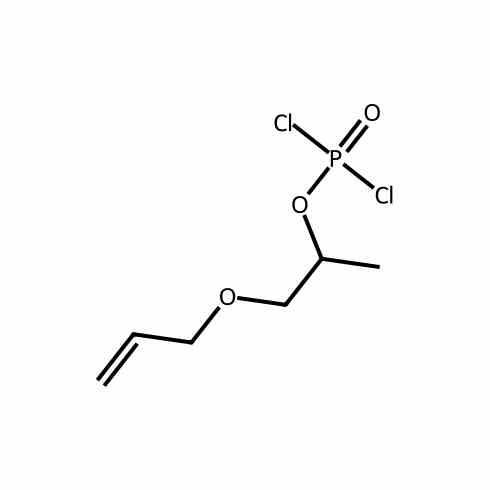 C=CCOCC(C)OP(=O)(Cl)Cl